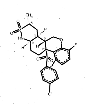 C[C@@H]1C[C@@H]2[C@@H](CC[C@@]3(S(=O)(=O)c4ccc(Cl)cc4)c4c(F)ccc(F)c4OC[C@@H]23)NS1(=O)=O